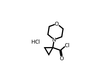 Cl.O=C(Cl)C1(N2CCOCC2)CC1